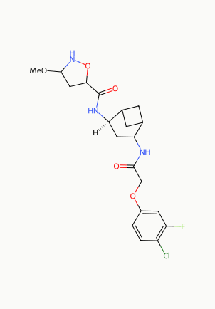 COC1CC(C(=O)N[C@@H]2CC(NC(=O)COc3ccc(Cl)c(F)c3)C3CC2C3)ON1